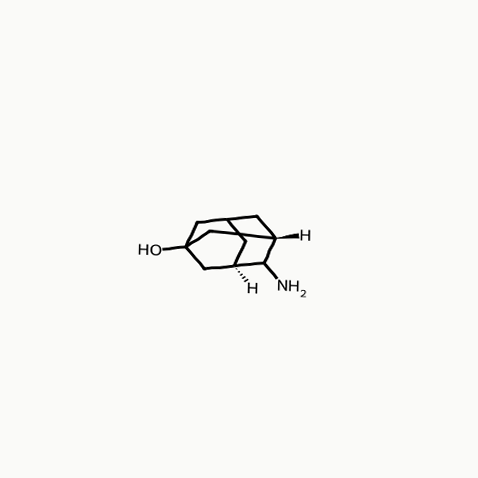 NC1[C@@H]2CC3C[C@H]1CC(O)(C3)C2